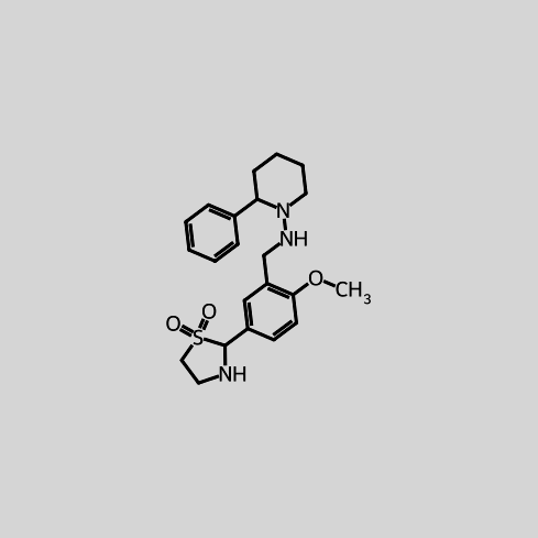 COc1ccc(C2NCCS2(=O)=O)cc1CNN1CCCCC1c1ccccc1